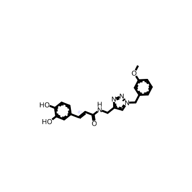 COc1cccc(Cn2cc(CNC(=O)/C=C/c3ccc(O)c(O)c3)nn2)c1